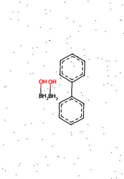 BO.BO.c1ccc(-c2ccccc2)cc1